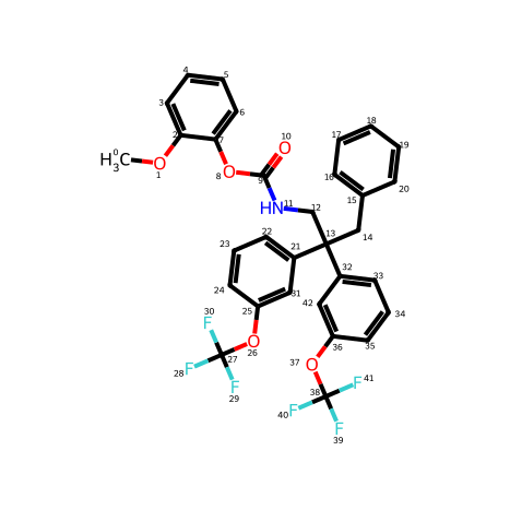 COc1ccccc1OC(=O)NCC(Cc1ccccc1)(c1cccc(OC(F)(F)F)c1)c1cccc(OC(F)(F)F)c1